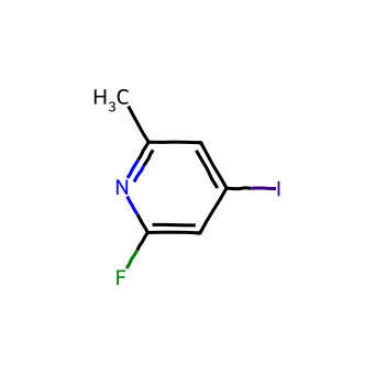 Cc1cc(I)cc(F)n1